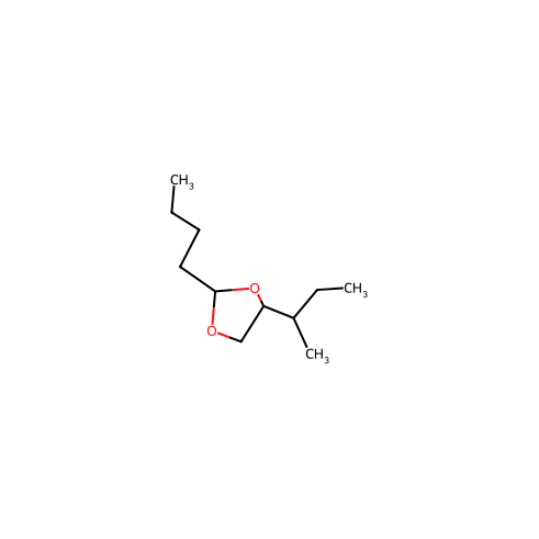 CCCCC1OCC(C(C)CC)O1